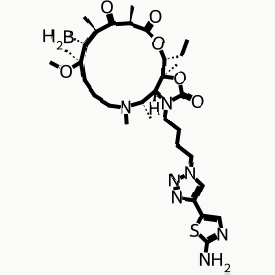 B[C@@H]1[C@@H](C)C(=O)[C@@H](C)C(=O)O[C@H](CC)[C@@]2(C)OC(=O)N(CCCCn3cc(-c4cnc(N)s4)nn3)[C@@H]2[C@H](C)N(C)CCC[C@@]1(C)OC